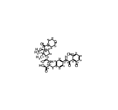 CC1(C)[C@@H](C(=O)N[C@@H](Cc2ccc(NC(=O)c3c(Cl)cccc3Cl)cc2)C(=O)O)CC[C@@]1(C)C(=O)N1CCOCC1